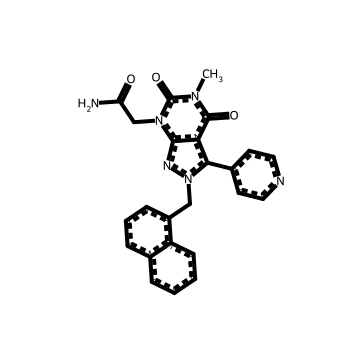 Cn1c(=O)c2c(-c3ccncc3)n(Cc3cccc4ccccc34)nc2n(CC(N)=O)c1=O